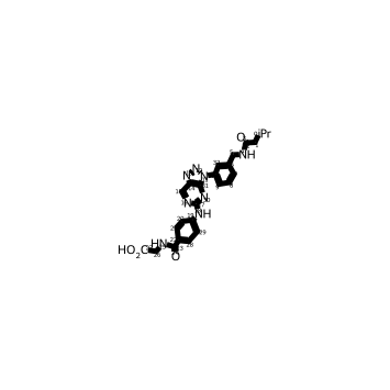 CC(C)CC(=O)NCc1cccc(-n2nnc3cnc(Nc4ccc(C(=O)NCC(=O)O)cc4)nc32)c1